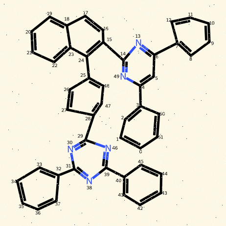 c1ccc(-c2cc(-c3ccccc3)nc(-c3ccc4ccccc4c3-c3ccc(-c4nc(-c5ccccc5)nc(-c5ccccc5)n4)cc3)n2)cc1